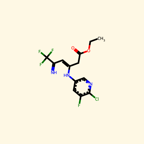 CCOC(=O)C/C(=C/C(=N)C(F)(F)F)Nc1cnc(Cl)c(F)c1